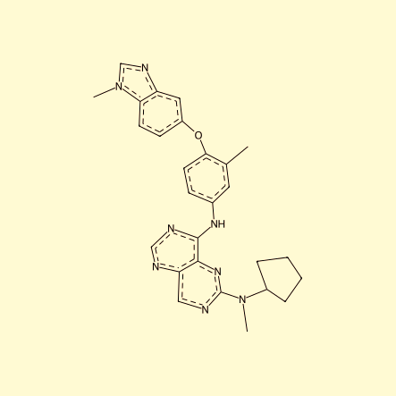 Cc1cc(Nc2ncnc3cnc(N(C)C4CCCC4)nc23)ccc1Oc1ccc2c(c1)ncn2C